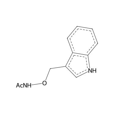 CC(=O)NOCc1c[nH]c2ccccc12